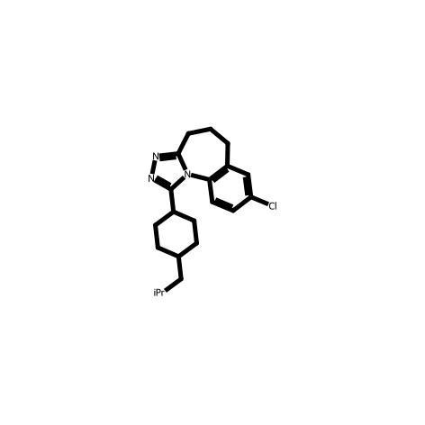 CC(C)CC1CCC(c2nnc3n2-c2ccc(Cl)cc2CCC3)CC1